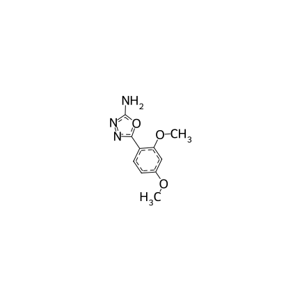 COc1ccc(-c2nnc(N)o2)c(OC)c1